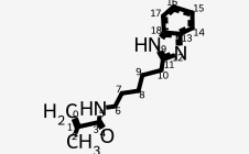 C=C(C)C(=O)NCCCCCc1nc2ccccc2[nH]1